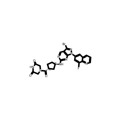 O=C1CN(C(=O)[C@@H]2CC[C@@H](Nc3ncc4c(Br)nn(-c5cc(F)c6ncccc6c5)c4n3)C2)CC(=O)N1